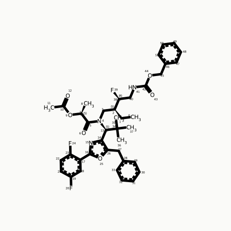 CC[C@@H](CN(C(=O)[C@H](C)OC(C)=O)[C@H](c1nc(-c2cc(F)ccc2F)oc1Cc1ccccc1)C(C)(C)C)[C@@H](F)CNC(=O)OCc1ccccc1